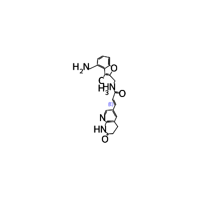 Cc1c(CNC(=O)/C=C/c2cnc3c(c2)CCC(=O)N3)oc2cccc(CN)c12